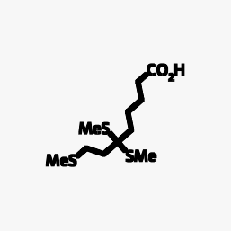 CSCCC(CCCCC(=O)O)(SC)SC